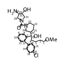 COCCCC[C@@](O)(c1ccccc1-c1ccc(Cl)cc1)C1CCCN(C(=O)N2C[C@@H](N)[C@@H](O)C2)C1